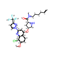 C=CCCCCN(C)C(=O)[C@@H]1C[C@H](Oc2cc(-n3ccc(C(F)(F)F)n3)nc3c(Cl)c(OC)ccc23)CN1